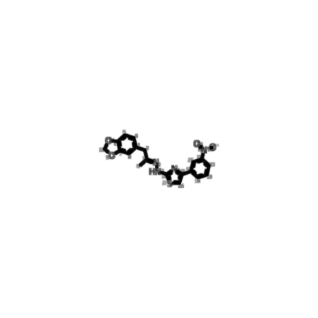 C/C(Cc1ccc2c(c1)OCO2)=N\Nc1nc(-c2cccc([N+](=O)[O-])c2)cs1